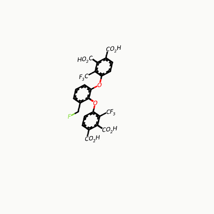 O=C(O)c1ccc(Oc2cccc(CF)c2Oc2ccc(C(=O)O)c(C(=O)O)c2C(F)(F)F)c(C(F)(F)F)c1C(=O)O